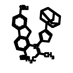 C[C](C)=[Zr]([C]1=CC(C23CC4CC(CC(C4)C2)C3)=CC1)[c]1c(C(C)(C)C)ccc2c1Cc1cc(C(C)(C)C)ccc1-2